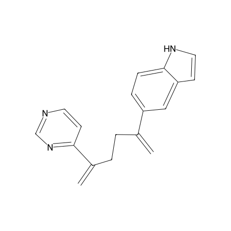 C=C(CCC(=C)c1ccncn1)c1ccc2[nH]ccc2c1